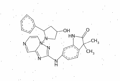 CC1(C)C(=O)Nc2cc(NC3=N[N+]4(N5CC(O)CC5c5ccccc5)C=CN=CC4=N3)ccc21